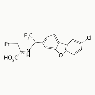 CC(C)C[C@H](NC(c1ccc2c(c1)oc1ccc(Cl)cc12)C(F)(F)F)C(=O)O